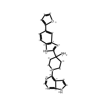 NC1(c2nc3cc(-c4ccco4)ccc3[nH]2)CCN(c2ncnc3[nH]ccc23)CC1